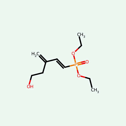 C=C(/C=C/P(=O)(OCC)OCC)CCO